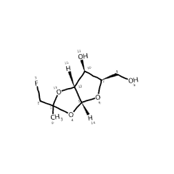 CC1(CF)O[C@H]2O[C@H](CO)[C@H](O)[C@H]2O1